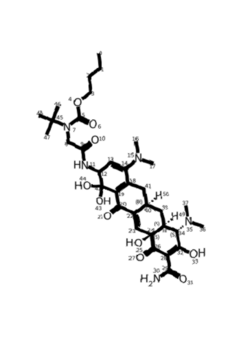 CCCCOC(=O)N(CC(=O)NC1C=C(N(C)C)C2=C(C(=O)C3=C[C@@]4(O)C(=O)C(C(N)=O)=C(O)[C@@H](N(C)C)[C@@H]4C[C@@H]3C2)C1(O)O)C(C)(C)C